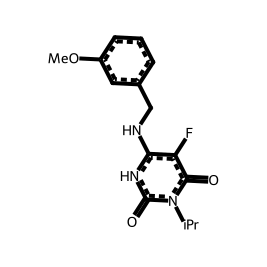 COc1cccc(CNc2[nH]c(=O)n(C(C)C)c(=O)c2F)c1